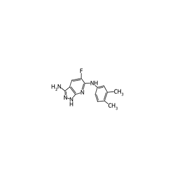 Cc1ccc(Nc2nc3[nH]nc(N)c3cc2F)cc1C